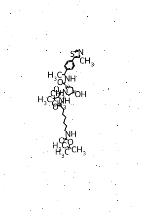 Cc1ncsc1-c1ccc(C(C)NC(=O)[C@@H]2C[C@@H](O)CN2C(=O)C(NC(=O)CCCCCCNC(=O)OC(C)(C)C)C(C)(C)C)cc1